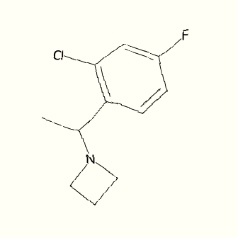 CC(c1ccc(F)cc1Cl)N1CCC1